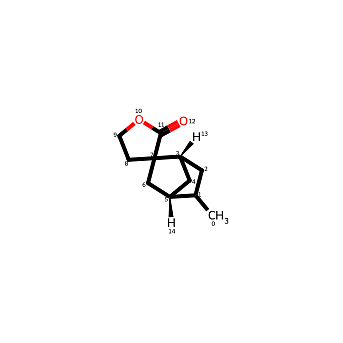 CC1C[C@@H]2C[C@H]1CC21CCOC1=O